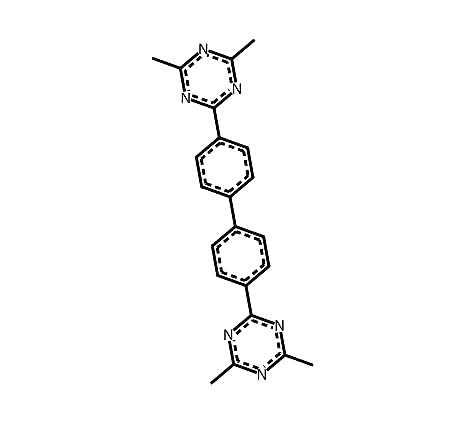 Cc1nc(C)nc(-c2ccc(-c3ccc(-c4nc(C)nc(C)n4)cc3)cc2)n1